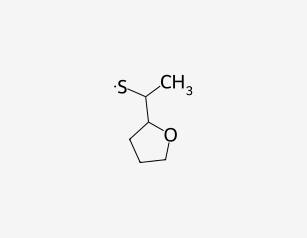 CC([S])C1CCCO1